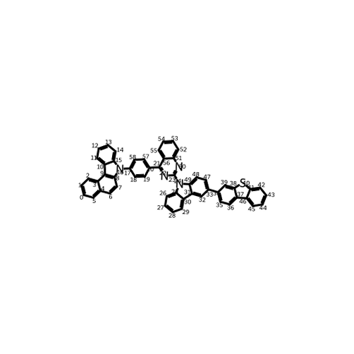 c1ccc2c(c1)ccc1c2c2ccccc2n1-c1ccc(-c2nc(-n3c4ccccc4c4cc(-c5ccc6c(c5)sc5ccccc56)ccc43)nc3ccccc23)cc1